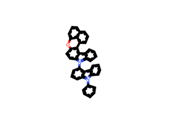 c1ccc(-n2c3ccccc3c3c(-n4c5ccccc5c5c6c(ccc54)Oc4cccc5cccc-6c45)cccc32)cc1